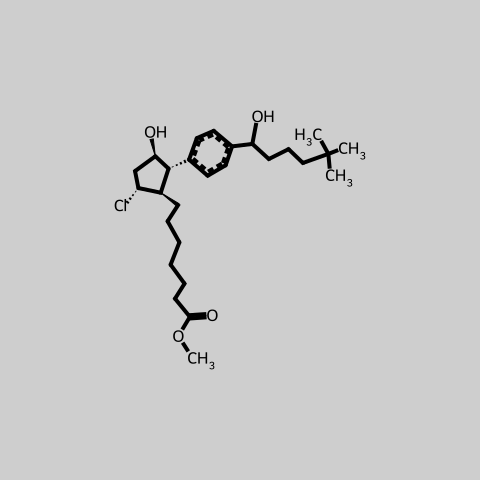 COC(=O)CCCCCC[C@@H]1[C@@H](c2ccc(C(O)CCCC(C)(C)C)cc2)[C@H](O)C[C@H]1Cl